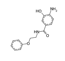 Nc1ccc(C(=O)NCCOc2ccccc2)cc1O